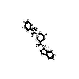 O=C(NC1CCc2ccccc21)C1CCCN(S(=O)(=O)c2ccccc2)C1